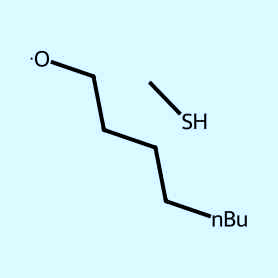 CCCCCCCC[O].CS